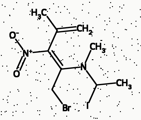 C=C(C)/C(=C(/CBr)N(C)C(C)I)[N+](=O)[O-]